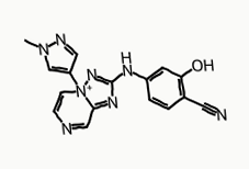 Cn1cc([N+]23C=CN=CC2=NC(Nc2ccc(C#N)c(O)c2)=N3)cn1